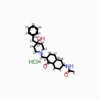 CC(=O)NC1CCC2C(=O)C(CN3CCC(O)(Cc4ccccc4)CC3)CCC2C1.Cl